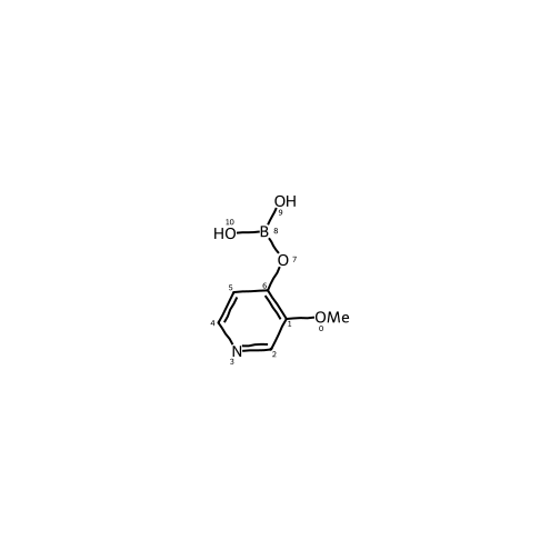 COc1cnccc1OB(O)O